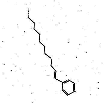 CCCCCCCCCC/C=C/c1cc[c]cc1